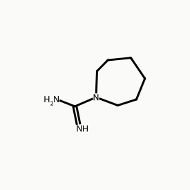 N=C(N)N1CCCCCC1